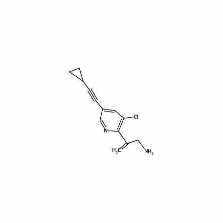 C=C(CN)c1ncc(C#CC2CC2)cc1Cl